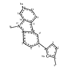 Cc1ccc(-c2ccc3c(c2)c2ccncc2n3C)o1